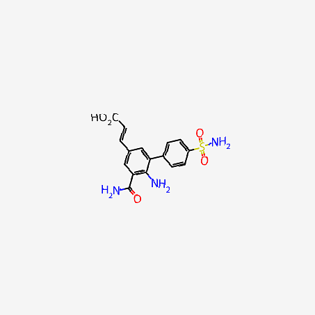 NC(=O)c1cc(/C=C/C(=O)O)cc(-c2ccc(S(N)(=O)=O)cc2)c1N